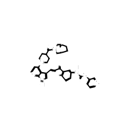 Cn1cc(/C=C2\Oc3ccc(NC(=O)Nc4cccnc4)cc3C2=O)c2c(N3CCC(C(=O)N4CC5CCC(C4)O5)CC3)ccnc21